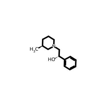 C[C@H]1CCCN(C[C@@H](O)c2ccccc2)C1